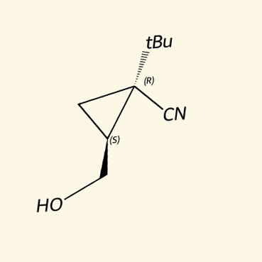 CC(C)(C)[C@@]1(C#N)C[C@@H]1CO